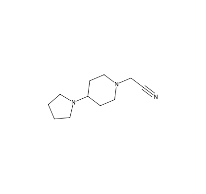 N#CCN1CCC(N2CCCC2)CC1